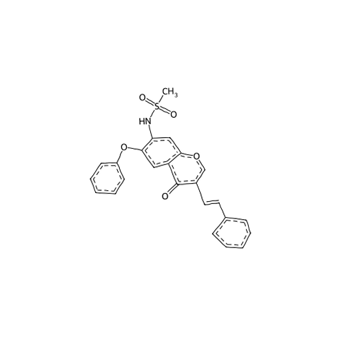 CS(=O)(=O)Nc1cc2occ(/C=C/c3ccccc3)c(=O)c2cc1Oc1ccccc1